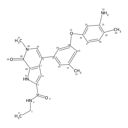 CCNC(=O)c1cc2c(-c3cc(C)cc(Oc4ccc(C)c(N)c4)c3)cn(C)c(=O)c2[nH]1